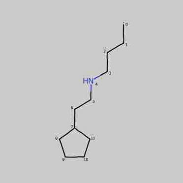 [CH2]CCCNCCC1CCCC1